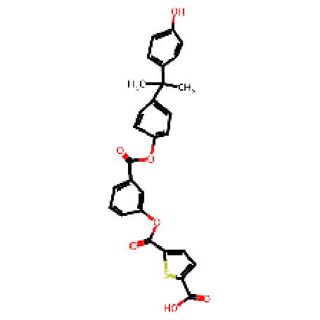 CC(C)(c1ccc(O)cc1)c1ccc(OC(=O)c2cccc(OC(=O)c3ccc(C(=O)O)s3)c2)cc1